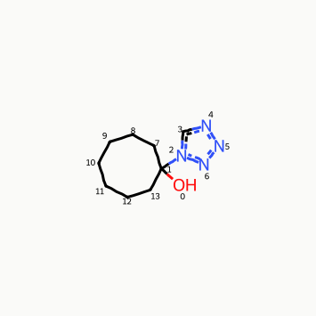 OC1(n2[c]nnn2)CCCCCCC1